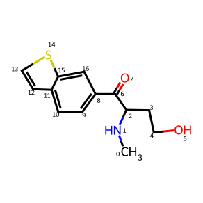 CNC(CCO)C(=O)c1ccc2ccsc2c1